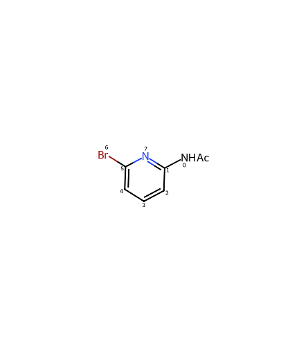 [CH2]C(=O)Nc1cccc(Br)n1